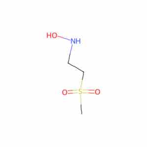 CS(=O)(=O)CCNO